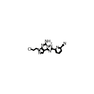 N#Cc1cccc(-c2nc3c4cnn(CCCl)c4nc(N)n3n2)n1